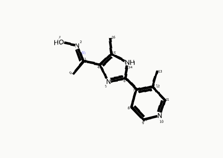 C/C(=N\O)c1nc(-c2ccncc2C)[nH]c1C